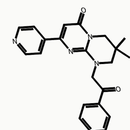 CC1(C)CN(CC(=O)c2ccccc2)c2nc(-c3ccncc3)cc(=O)n2C1